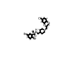 O=S(=O)(NCC1CCN(CC2COc3ccc(Cl)cc3O2)CC1)c1cc(Br)ccc1Br